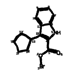 O=C(OBr)c1[nH]c2ccccc2c1C1CCCC1